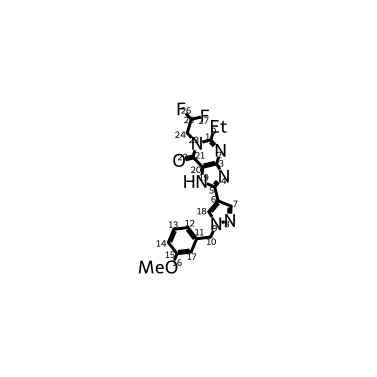 CCc1nc2nc(-c3cnn(Cc4cccc(OC)c4)c3)[nH]c2c(=O)n1CC(F)F